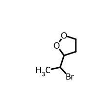 CC(Br)C1CCOO1